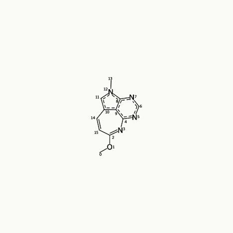 COC1=Nc2ncnc3c2c(cn3C)C=C1